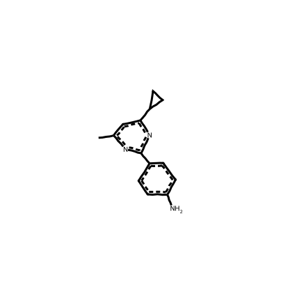 Cc1cc(C2CC2)nc(-c2ccc(N)cc2)n1